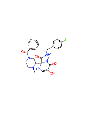 CN1CCN(C(=O)c2ccccc2)CC1C1(C(=O)NCc2ccc(F)cc2)NC=C(O)C(=O)N1C